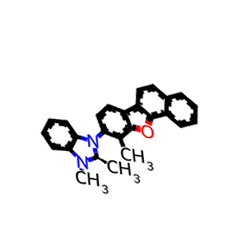 Cc1c(N2c3ccccc3N(C)[C@@H]2C)ccc2c1oc1c3ccccc3ccc21